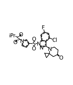 CC(C)S(=O)(=O)n1ccc(S(=O)(=O)n2nc(N3CCC(=O)CC34CC4)c3c(Cl)cc(F)cc32)c1